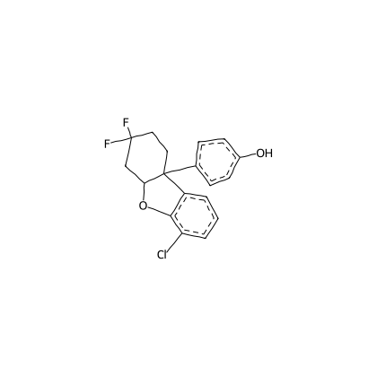 Oc1ccc(C23CCC(F)(F)CC2Oc2c(Cl)cccc23)cc1